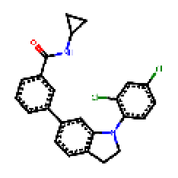 O=C(NC1CC1)c1cccc(-c2ccc3c(c2)N(c2ccc(Cl)cc2Cl)CC3)c1